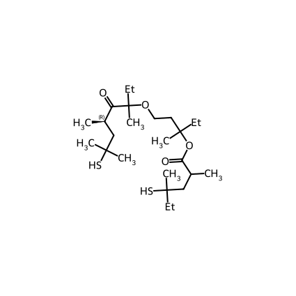 CCC(C)(S)CC(C)C(=O)OC(C)(CC)CCOC(C)(CC)C(=O)[C@H](C)CC(C)(C)S